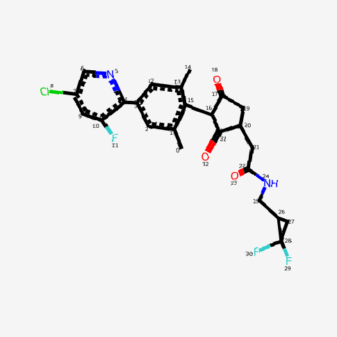 Cc1cc(-c2ncc(Cl)cc2F)cc(C)c1C1C(=O)CC(CC(=O)NCC2CC2(F)F)C1=O